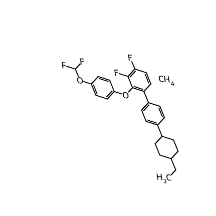 C.CCC1CCC(c2ccc(-c3ccc(F)c(F)c3Oc3ccc(OC(F)F)cc3)cc2)CC1